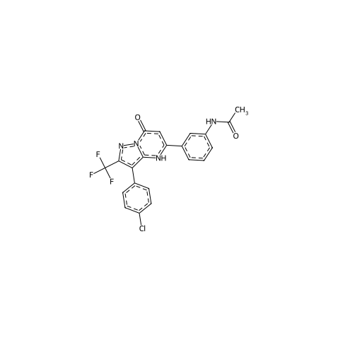 CC(=O)Nc1cccc(-c2cc(=O)n3nc(C(F)(F)F)c(-c4ccc(Cl)cc4)c3[nH]2)c1